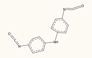 O=C=Nc1ccc(Nc2ccc(N=C=O)cc2)cc1